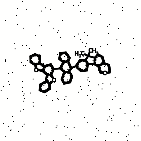 CC1(C)c2cc(-c3c4ccccc4c(-c4cc5c6ccccc6oc5c5c4oc4ccccc45)c4ccccc34)ccc2-c2c1ccc1ccccc21